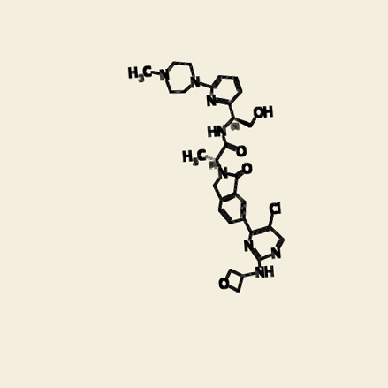 C[C@H](C(=O)N[C@H](CO)c1cccc(N2CCN(C)CC2)n1)N1Cc2ccc(-c3nc(NC4COC4)ncc3Cl)cc2C1=O